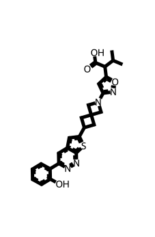 CC(C)C(C(=O)O)c1cc(N2CC3(CC(c4cc5cc(-c6ccccc6O)nnc5s4)C3)C2)no1